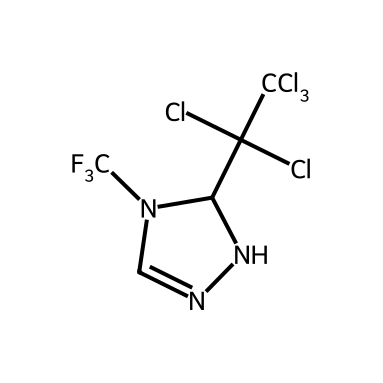 FC(F)(F)N1C=NNC1C(Cl)(Cl)C(Cl)(Cl)Cl